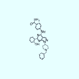 NC(=O)c1ccc(Nc2nc(-c3ccccc3O)nc3c2cnn3C2CCN(Cc3ccccc3)CC2)cc1